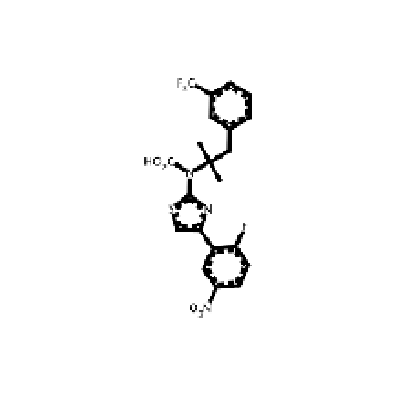 CC(C)(Cc1cccc(C(F)(F)F)c1)N(C(=O)O)c1nc(-c2cc([N+](=O)[O-])ccc2F)cs1